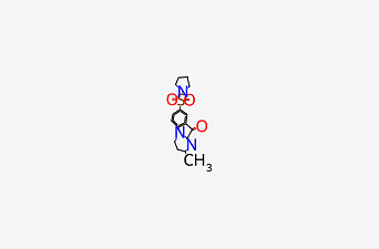 CC1CCN2C(=N1)C(=O)c1cc(S(=O)(=O)N3CCCC3)ccc12